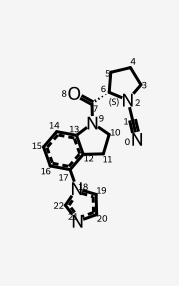 N#CN1CCC[C@H]1C(=O)N1CCc2c1cccc2-n1ccnc1